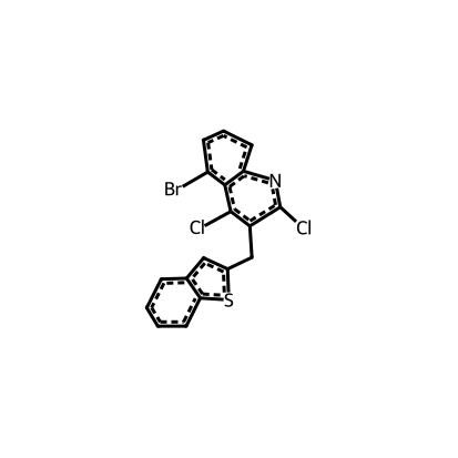 Clc1nc2cccc(Br)c2c(Cl)c1Cc1cc2ccccc2s1